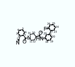 N#Cc1ccccc1C(=O)N1CCC(C(=O)Nc2cccc(-c3ccccc3F)c2)CC1